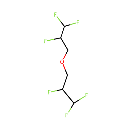 FC(F)C(F)COCC(F)C(F)F